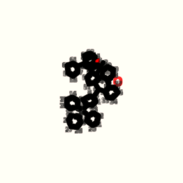 CC1(C)c2cc(C(c3ccc([Si](c4ccccc4)(c4ccccc4)c4ccccc4)cc3)c3cccc4oc5ccc(-c6ccccc6)cc5c34)ccc2-c2c(-c3ccccc3)cccc21